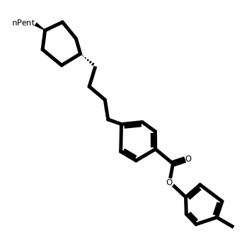 CCCCC[C@H]1CC[C@H](CCCCc2ccc(C(=O)Oc3ccc(C)cc3)cc2)CC1